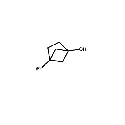 CC(C)C12CCC(O)(C1)C2